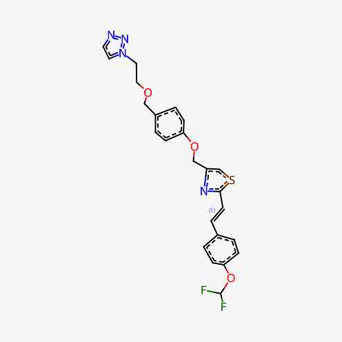 FC(F)Oc1ccc(/C=C/c2nc(COc3ccc(COCCn4ccnn4)cc3)cs2)cc1